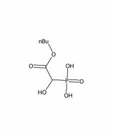 CCCCOC(=O)C(O)P(=O)(O)O